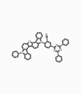 N#Cc1cc(-c2nc(-c3ccccc3)nc(-c3ccccc3)n2)ccc1-n1c2ccccc2c2c3oc4ccc5c(c6ccccc6n5-c5ccccc5)c4c3ccc21